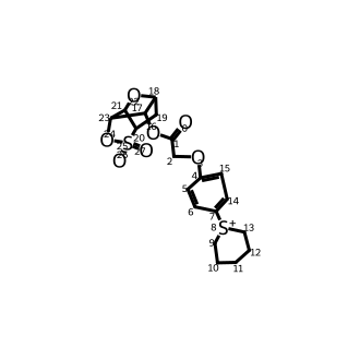 O=C(COc1ccc([S+]2CCCCC2)cc1)OC1C2CC3C(O2)C1OS3(=O)=O